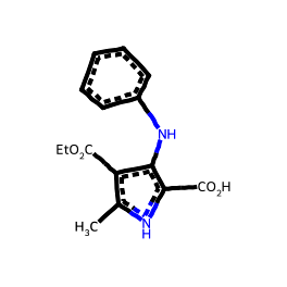 CCOC(=O)c1c(C)[nH]c(C(=O)O)c1Nc1ccccc1